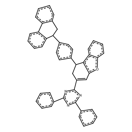 C1=C(c2nc(-c3ccccc3)nc(-c3ccccc3)n2)CC(c2ccc(C3Cc4ccccc4-c4ccccc43)cc2)c2c1oc1ccccc21